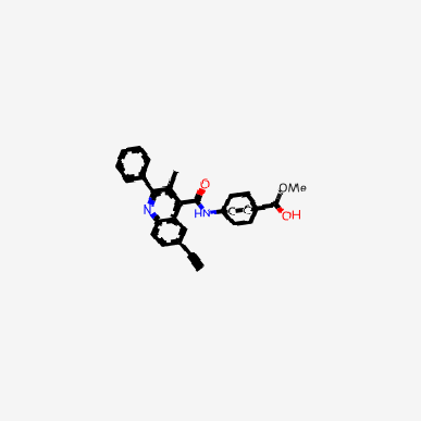 C#Cc1ccc2nc(-c3ccccc3)c(C)c(C(=O)NC34CCC(C(O)OC)(CC3)CC4)c2c1